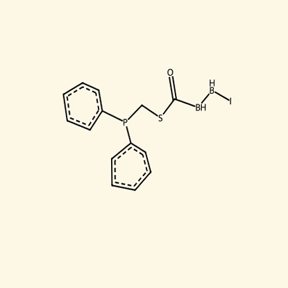 O=C(BBI)SCP(c1ccccc1)c1ccccc1